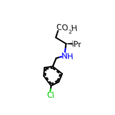 CC(C)[C@H](CC(=O)O)NCc1ccc(Cl)cc1